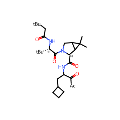 CC(=O)C(=O)C(CC1CCC1)NC(=O)[C@@H]1C2C(CN1C(=O)[C@@H](NC(=O)CC(C)(C)C)C(C)(C)C)C2(C)C